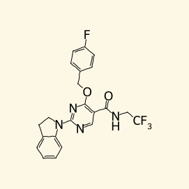 O=C(NCC(F)(F)F)c1cnc(N2CCc3ccccc32)nc1OCc1ccc(F)cc1